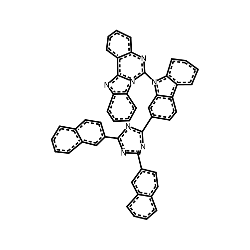 c1ccc2cc(-c3nc(-c4ccc5ccccc5c4)nc(-c4ccc5c6ccccc6n(-c6nc7ccccc7c7nc8ccccc8n67)c5c4)n3)ccc2c1